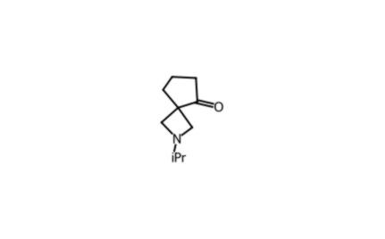 CC(C)N1CC2(CCCC2=O)C1